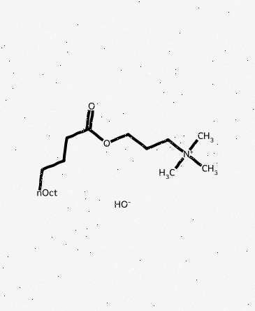 CCCCCCCCCCCC(=O)OCCC[N+](C)(C)C.[OH-]